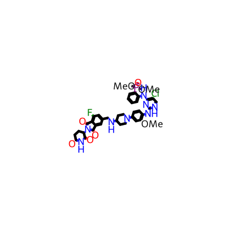 COc1cc(N2CCC(NCc3cc(F)c4c(c3)C(=O)N(C3CCC(=O)NC3=O)C4=O)CC2)ccc1Nc1ncc(Cl)c(Nc2ccccc2P(=O)(OC)OC)n1